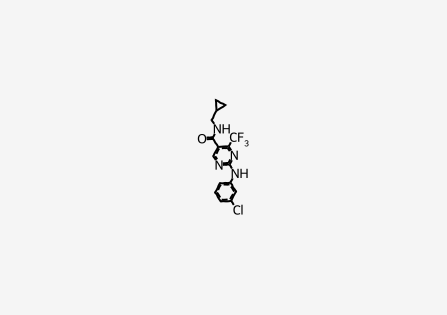 O=C(NCC1CC1)c1cnc(Nc2cccc(Cl)c2)nc1C(F)(F)F